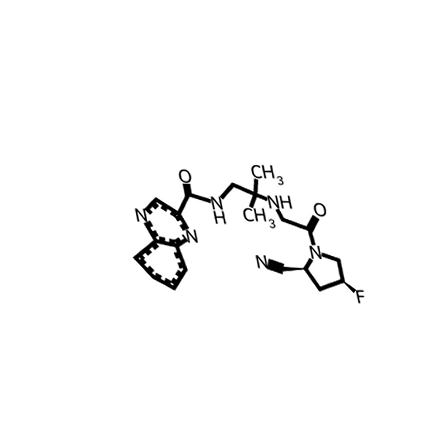 CC(C)(CNC(=O)c1cnc2ccccc2n1)NCC(=O)N1C[C@@H](F)C[C@H]1C#N